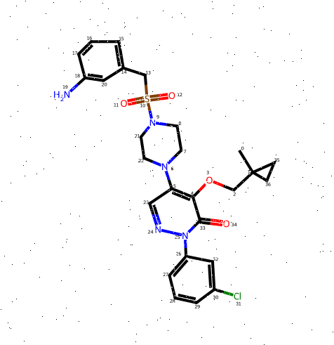 CC1(COc2c(N3CCN(S(=O)(=O)Cc4cccc(N)c4)CC3)cnn(-c3cccc(Cl)c3)c2=O)CC1